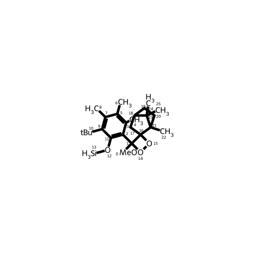 COC1(c2c(C)c(C)c(C)c(C(C)(C)C)c2O[SiH3])OOC12CC1CCC2(C)C1(C)C